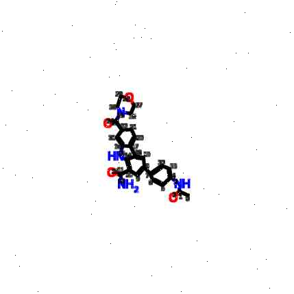 CC(=O)Nc1ccc(-c2cc(C(N)=O)c3[nH]c4c(c3c2)=CCC(C(=O)N2CCOCC2)C=4)cc1